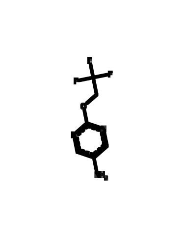 Nc1cnc(OCC(F)(F)F)nc1